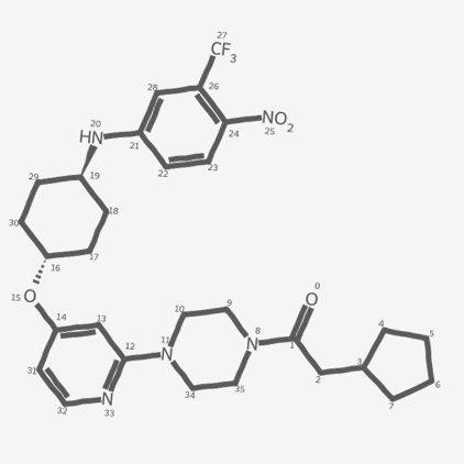 O=C(CC1CCCC1)N1CCN(c2cc(O[C@H]3CC[C@H](Nc4ccc([N+](=O)[O-])c(C(F)(F)F)c4)CC3)ccn2)CC1